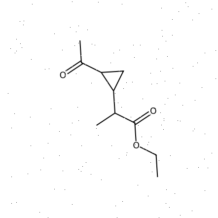 CCOC(=O)C(C)C1CC1C(C)=O